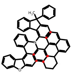 CC1(c2ccccc2)c2ccccc2-c2c(N(c3ccccc3-c3cccc4cccc(C5CCCCC5)c34)c3ccccc3-c3cccc4oc5ccccc5c34)cccc21